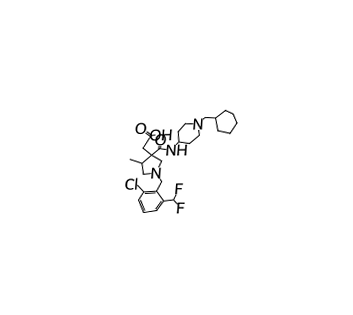 CC1CN(Cc2c(Cl)cccc2C(F)F)CC1(CC(=O)O)C(=O)NC1CCN(CC2CCCCC2)CC1